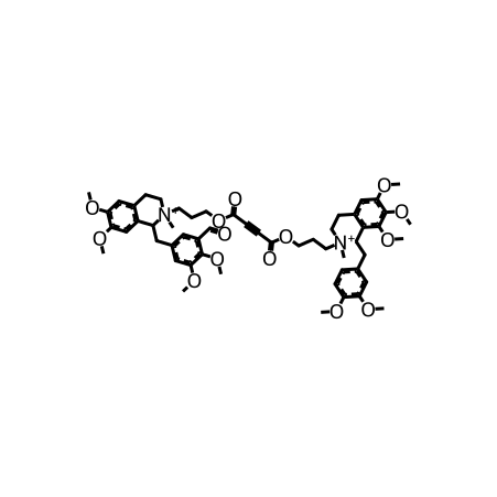 COc1ccc(CC2c3c(cc(OC)c(OC)c3OC)CC[N+]2(C)CCCOC(=O)C#CC(=O)OCCC[N+]2(C)CCc3cc(OC)c(OC)cc3C2Cc2cc(C=O)c(OC)c(OC)c2)cc1OC